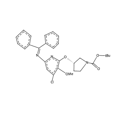 COc1c(Cl)cc(N=C(c2ccccc2)c2ccccc2)nc1O[C@H]1CCN(C(=O)OC(C)(C)C)C1